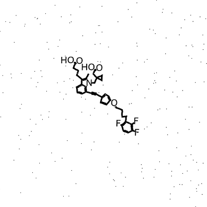 Cc1c(CCCC(=O)O)c2cccc(C#Cc3ccc(OCCCCc4c(F)ccc(F)c4F)cc3)c2n1CC1(CC(=O)O)CC1